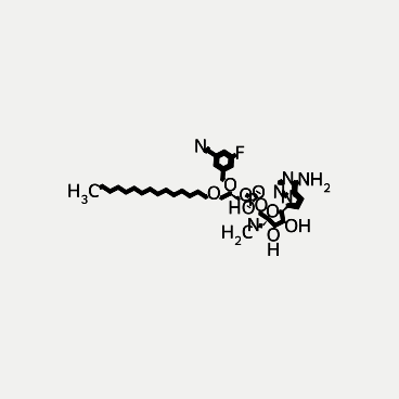 C=NC[C@]1(COP(=O)(O)OC[C@@H](COCCCCCCCCCCCCCCC)OCc2cc(F)cc(C#N)c2)O[C@@H](c2ccc3c(N)ncnn23)[C@H](O)[C@@H]1O